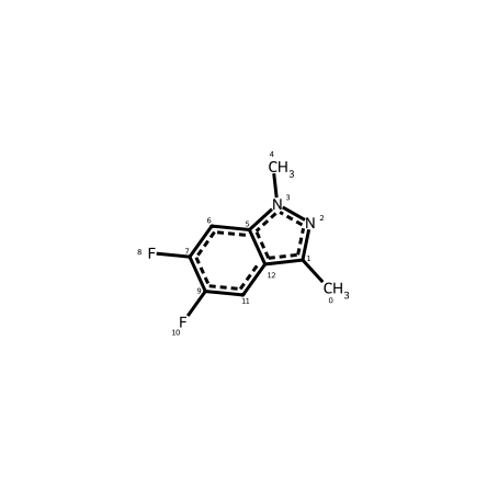 Cc1nn(C)c2cc(F)c(F)cc12